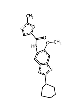 COc1cc2nn(C3CCCCC3)cc2cc1NC(=O)c1coc(C)n1